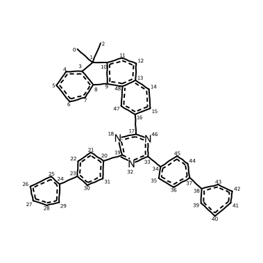 CC1(C)c2ccccc2-c2c1ccc1ccc(-c3nc(-c4ccc(-c5ccccc5)cc4)nc(-c4ccc(-c5ccccc5)cc4)n3)cc21